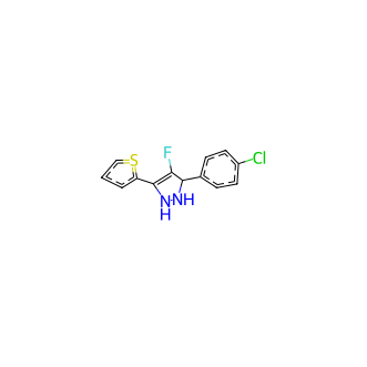 FC1=C(c2cccs2)NNC1c1ccc(Cl)cc1